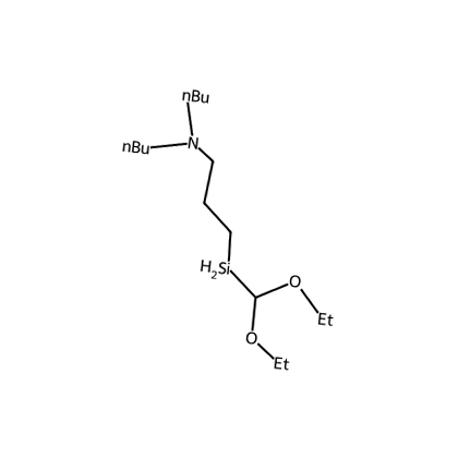 CCCCN(CCCC)CCC[SiH2]C(OCC)OCC